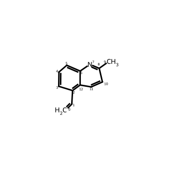 C=Cc1cccc2nc(C)ccc12